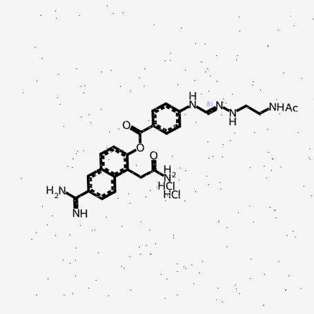 CC(=O)NCCN/N=C/Nc1ccc(C(=O)Oc2ccc3cc(C(=N)N)ccc3c2CC(N)=O)cc1.Cl.Cl